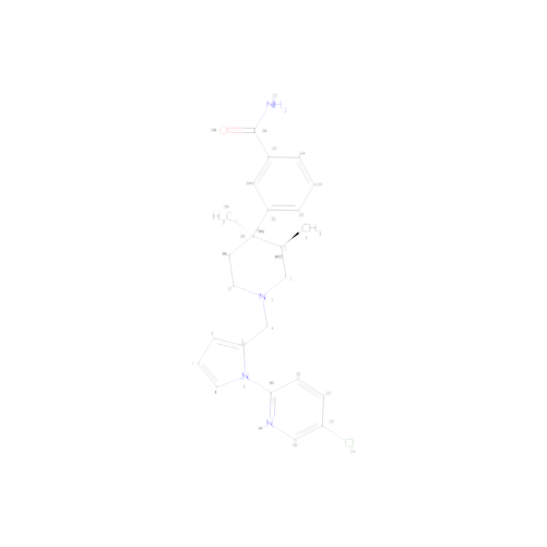 C[C@H]1CN(Cc2cccn2-c2ccc(Cl)cn2)CC[C@@]1(C)c1cccc(C(N)=O)c1